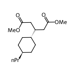 CCC[C@H]1CC[C@H](C(CC(=O)OC)CC(=O)OC)CC1